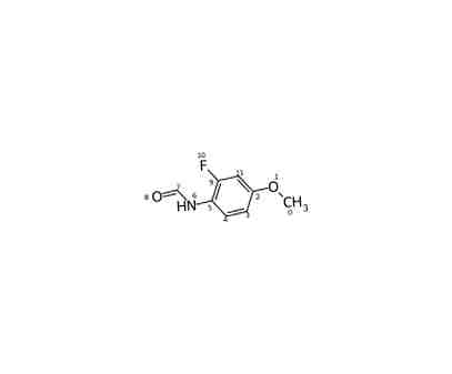 COc1ccc(NC=O)c(F)c1